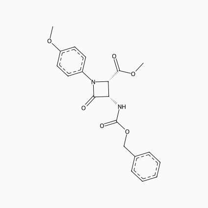 COC(=O)[C@@H]1[C@H](NC(=O)OCc2ccccc2)C(=O)N1c1ccc(OC)cc1